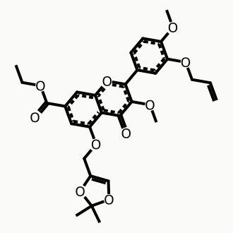 C=CCOc1cc(-c2oc3cc(C(=O)OCC)cc(OCC4=COC(C)(C)O4)c3c(=O)c2OC)ccc1OC